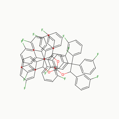 Fc1cccc(C(OB(OC(c2cccc(F)c2)C(c2cccc(F)c2)(c2cccc(F)c2)c2cccc(F)c2)OC(c2cccc(F)c2)C(c2cccc(F)c2)(c2cccc(F)c2)c2cccc(F)c2)C(c2cccc(F)c2)(c2cccc(F)c2)c2cccc(F)c2)c1